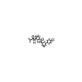 O=C(Nc1cncc(-c2ccc(Cl)cc2)c1)c1ccnc(NC(=O)C2CC2)c1